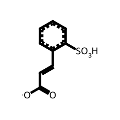 [O]C(=O)/C=C/c1ccccc1S(=O)(=O)O